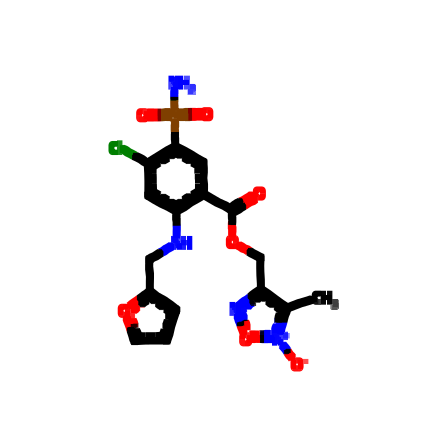 Cc1c(COC(=O)c2cc(S(N)(=O)=O)c(Cl)cc2NCc2ccco2)no[n+]1[O-]